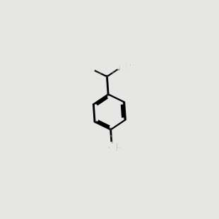 CCCC(CC)c1ccc(C(F)(F)F)cc1